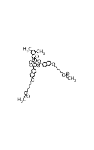 C=CC(=O)OCCCCCCOc1ccc2cc(C(=O)O[C@H]3C(=O)N(Cc4cc(C)cc(C)c4)C(=O)[C@@H]3OC(=O)c3ccc4cc(OCCCCCCOC(=O)C=C)ccc4c3)ccc2c1